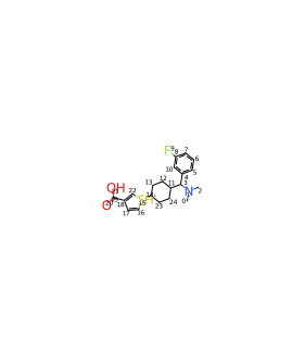 CN(C)C(c1cccc(F)c1)C1CC[C]([SH]2C=CC(C(=O)O)=C2)CC1